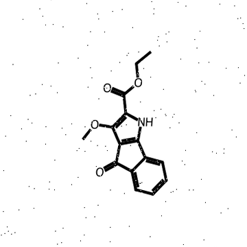 CCOC(=O)c1[nH]c2c(c1OC)C(=O)c1ccccc1-2